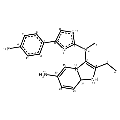 CCC1=C(N(C)c2nc(-c3ccc(F)cc3)cs2)N2C=C(N)C=CC2N1